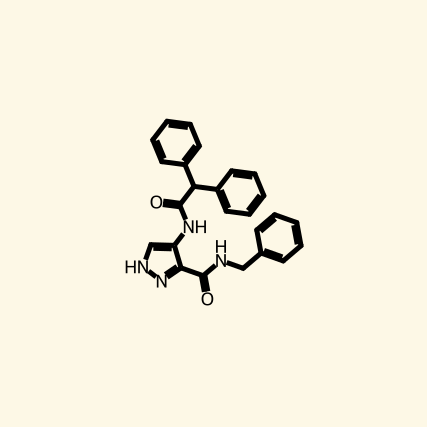 O=C(NCc1ccccc1)c1n[nH]cc1NC(=O)C(c1ccccc1)c1ccccc1